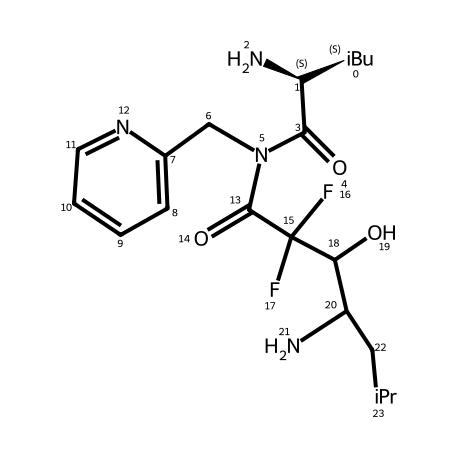 CC[C@H](C)[C@H](N)C(=O)N(Cc1ccccn1)C(=O)C(F)(F)C(O)C(N)CC(C)C